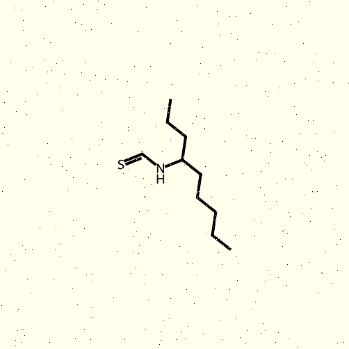 CCCCCC(CCC)N[C]=S